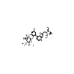 Cc1cc(Cl)cc(-c2ccnc3cc(CN4C(=O)C5CC5C4=O)sc23)c1C[C@H]1CNCC(C)(C)O1